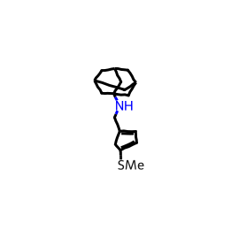 CSC1=CC=C(CNC23CC4CC(CC(C4)C2)C3)C1